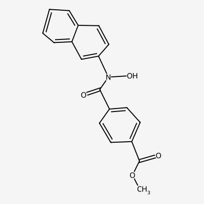 COC(=O)c1ccc(C(=O)N(O)c2ccc3ccccc3c2)cc1